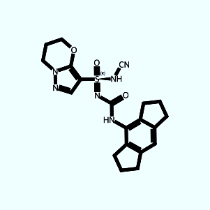 N#CN[S@@](=O)(=NC(=O)Nc1c2c(cc3c1CCC3)CCC2)c1cnn2c1OCCC2